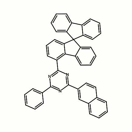 c1ccc(-c2nc(-c3ccc4ccccc4c3)nc(-c3cccc4c3-c3ccccc3C43c4ccccc4-c4ccccc43)n2)cc1